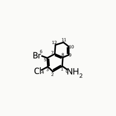 Nc1cc(Cl)c(Br)c2c1C=CCC2